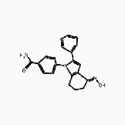 NC(=O)c1ccc(-n2c(-c3ccccc3)cc3c2CCCC3=NO)cc1